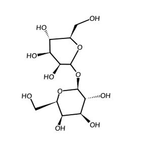 OC[C@H]1O[C@@H](OC2O[C@H](CO)[C@@H](O)[C@H](O)[C@@H]2O)[C@H](O)[C@@H](O)[C@H]1O